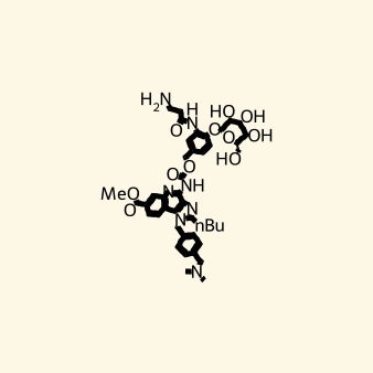 CCCCc1nc2c(NC(=O)OCc3ccc(O[C@H]4O[C@H](CO)[C@@H](O)[C@H](O)[C@@H]4O)c(NC(=O)CCN)c3)nc3cc(C(=O)OC)ccc3c2n1Cc1ccc(CN(C)C)cc1